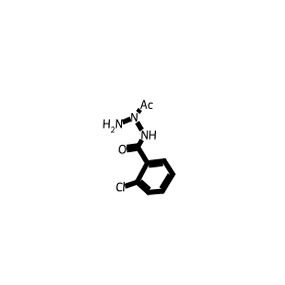 CC(=O)N(N)NC(=O)c1ccccc1Cl